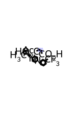 CC(=O)N(C)CCN1CCN(c2cccc(C(F)(F)F)c2)CC1.O=C(O)/C=C\C(=O)O